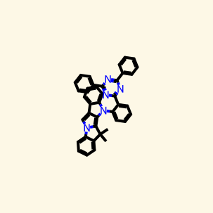 CC1(C)c2ccccc2-n2cc3c4ccccc4n(-c4ccccc4-c4nc(-c5ccccc5)nc(-c5ccccc5)n4)c3c21